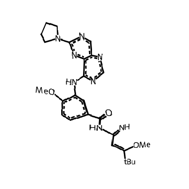 CO/C(=C\C(=N)NC(=O)c1ccc(OC)c(Nc2ncnc3cnc(N4CCCC4)nc23)c1)C(C)(C)C